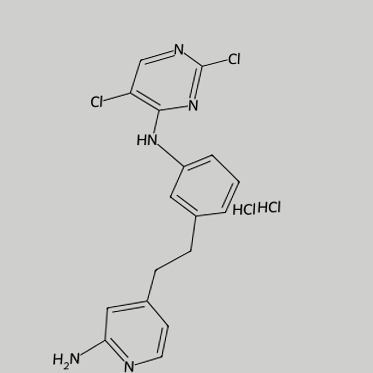 Cl.Cl.Nc1cc(CCc2cccc(Nc3nc(Cl)ncc3Cl)c2)ccn1